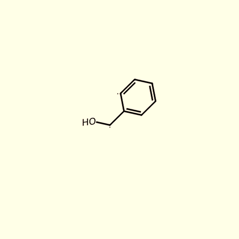 O[CH]c1[c]cccc1